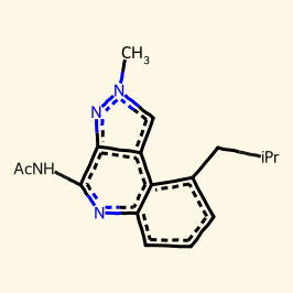 CC(=O)Nc1nc2cccc(CC(C)C)c2c2cn(C)nc12